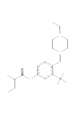 CCC(C)C(=O)Nc1ccc(CN2CCN(CC)CC2)c(C(F)(F)F)c1